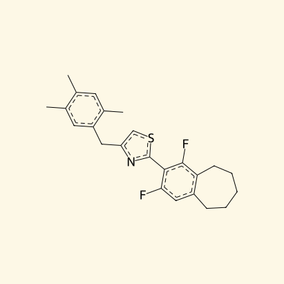 Cc1cc(C)c(Cc2csc(-c3c(F)cc4c(c3F)CCCCC4)n2)cc1C